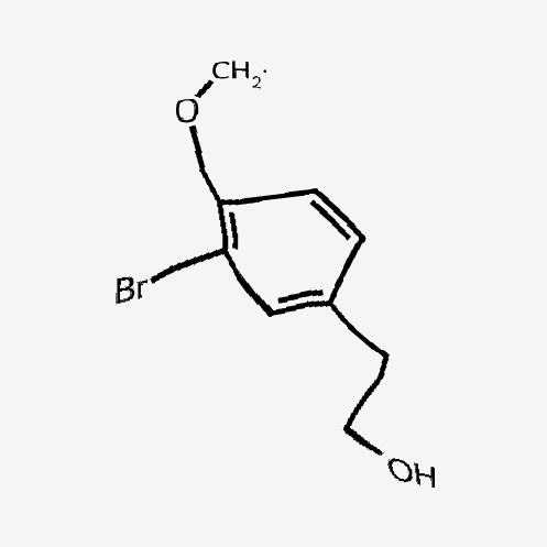 [CH2]Oc1ccc(CCO)cc1Br